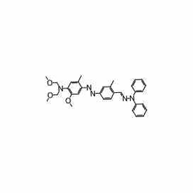 COCN(COC)c1cc(C)c(N=Nc2ccc(C=NN(c3ccccc3)c3ccccc3)c(C)c2)cc1OC